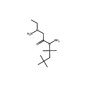 CCN(N)CC(=O)N(N)C(C)(C)CC(C)(C)C